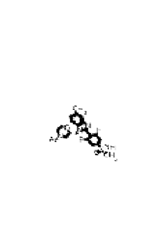 CC(=O)N1CCO[C@@H](Cn2c(-c3c(F)cc(S(C)(=N)=O)cc3F)nc3cc(C)ccc32)C1